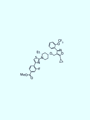 CC[C@@H]1C[C@H](OCc2c(-c3ccccc3OC(F)(F)F)noc2C2CC2)CCN1c1nc(-c2ccc(C(=O)OC)cc2F)cs1